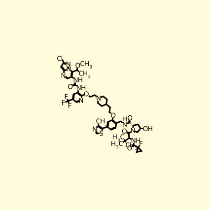 COC(C)c1c(NC(=O)Nc2cc(C(F)(F)F)cnc2OCCN2CCC(CCOc3cc(-c4scnc4C)ccc3CNC(=O)[C@@H]3C[C@@H](O)CN3C(=O)C(NC(=O)C3(F)CC3)C(C)(C)C)CC2)cnc2cc(Cl)nn12